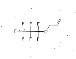 C=CCOC(F)(F)C(F)(F)C(F)(F)F